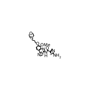 COc1c(OCCCN2CCOCC2)ccc2c1N=C(NC(=O)c1cnc(N)s1)N1CCN=C21